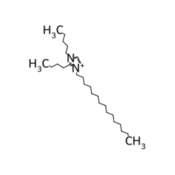 CCCCCCCCCCCCCCC[n+]1ccn(CCCCC)c1CCCC